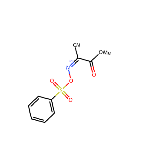 COC(=O)/C(C#N)=N\OS(=O)(=O)c1ccccc1